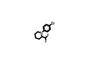 FC(F)C1CCCCN1c1ccc(Br)cc1